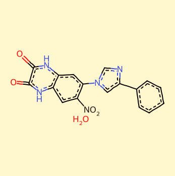 O.O=c1[nH]c2cc(-n3cnc(-c4ccccc4)c3)c([N+](=O)[O-])cc2[nH]c1=O